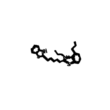 CCCc1cccc2sc(C=CC=CC=C3Nc4ccccc4S3)[n+](CCC)c12